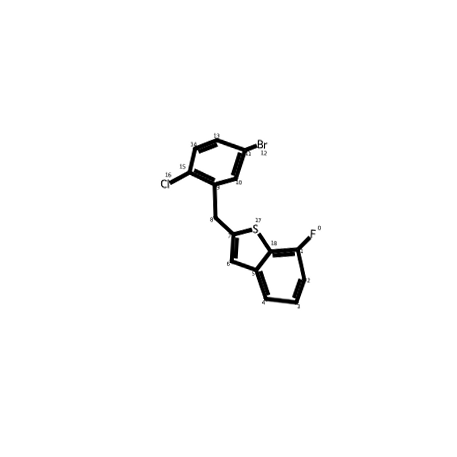 Fc1cccc2cc(Cc3cc(Br)ccc3Cl)sc12